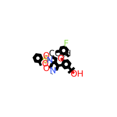 Cc1ccccc1S(=O)(=O)n1c(C(=O)O)cc2c(-c3cc(C(C)(C)O)ccc3Oc3c(C)cc(F)cc3C)cn(C)c(=O)c21